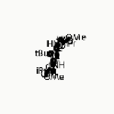 COC(=O)N[C@H](C(=O)N1CCC[C@H]1c1nc2c(F)c([C@H]3CC[C@@H](c4ccc5nc([C@@H]6CCCN6C(=O)[C@@H](NC(=O)OC)C(C)C)[nH]c5c4F)N3c3ccc(C(C)(C)C)cc3)ccc2[nH]1)C(C)C